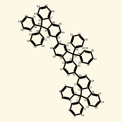 c1ccc(C2(c3ccccc3)c3ccccc3-c3ccc(-c4ccc5c(c4)C(c4ccccc4)(c4ccccc4)c4cc(-c6ccc7c(c6)C(c6ccccc6)(c6ccccc6)c6ccccc6-7)ccc4-5)cc32)cc1